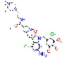 COc1cc(CN2C(=O)/C(=C\c3cc(C(=O)NCCN4CCN(C)CC4)c[nH]3)c3c(Cl)nc(N)nc32)c(Cl)c(OC)c1OC